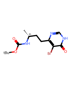 C[C@H](CCc1nc[nH]c(=O)c1Br)NC(=O)OC(C)(C)C